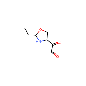 CCC1NC(C(=O)C=O)CO1